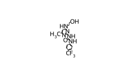 Cc1cc(NCCO)nc(NC(=O)Nc2ccc(C(F)(F)F)cc2)n1